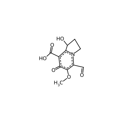 COc1c(C=O)n2c(c(C(=O)O)c1=O)C(O)CC2